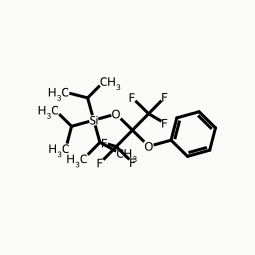 CC(C)[Si](OC(Oc1ccccc1)(C(F)(F)F)C(F)(F)F)(C(C)C)C(C)C